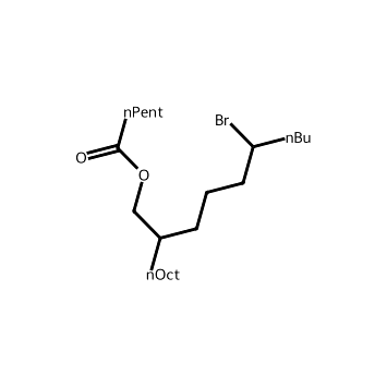 CCCCCCCCC(CCCC(Br)CCCC)COC(=O)CCCCC